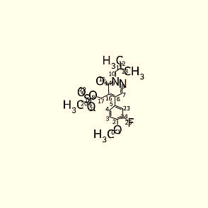 COc1ccc(-c2cnn(CC(C)C)c(=O)c2COS(C)(=O)=O)cc1F